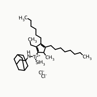 CCCCCCCCC1=C(CCCCCC)C(CC)=[C]([Ti+2]([SiH3])[NH]C23CC4CC(CC(C4)C2)C3)C1C.[Cl-].[Cl-]